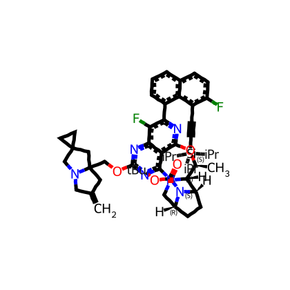 C=C1CN2CC3(CC3)CC2(COc2nc3c4c(nc(-c5cccc6ccc(F)c(C#C[Si](C(C)C)(C(C)C)C(C)C)c56)c(F)c4n2)O[C@@H](C)[C@@H]2[C@@H]4CC[C@H](CN32)N4C(=O)OC(C)(C)C)C1